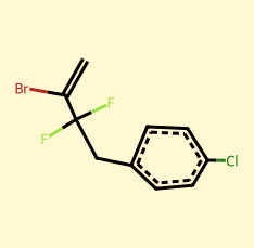 C=C(Br)C(F)(F)Cc1ccc(Cl)cc1